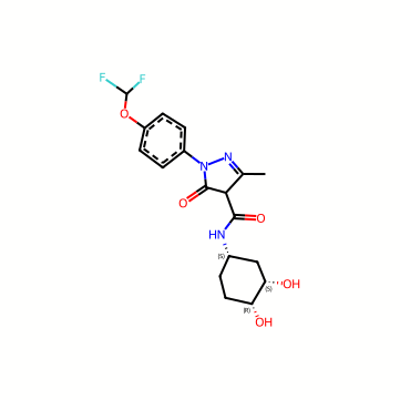 CC1=NN(c2ccc(OC(F)F)cc2)C(=O)C1C(=O)N[C@H]1CC[C@@H](O)[C@@H](O)C1